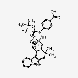 CCC1=c2c([nH]c3ccccc23)=CC(C)(C)C1=CC1(NN(C(=O)OC(C)(C)C)c2ccc(C(=O)O)cc2)C([O-])=[C+][C+]1[O-]